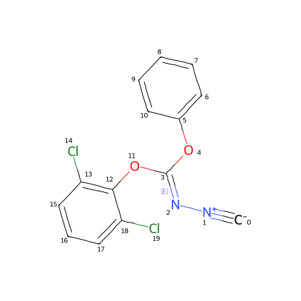 [C-]#[N+]/N=C(\Oc1ccccc1)Oc1c(Cl)cccc1Cl